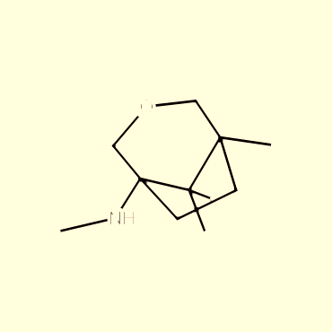 CNC12CCC(C)(COC1)C2(C)C